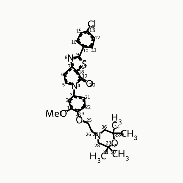 COc1cc(-n2ccc3nc(-c4ccc(Cl)cc4)sc3c2=O)ccc1OCCN1CC(C)(C)OC(C)(C)C1